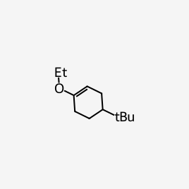 CCOC1=CCC(C(C)(C)C)CC1